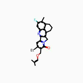 CCc1cc2n(c(=O)c1COC=C(C)C)Cc1c-2nc2cc(F)c(C)c3c2c1CCC3